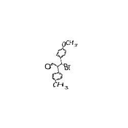 COc1ccc(C(Br)C(C=O)c2ccc(C)cc2)cc1